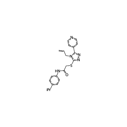 C=CCn1c(SCC(=O)Nc2ccc(C(C)C)cc2)nnc1-c1ccncc1